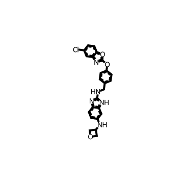 Clc1ccc2oc(Oc3ccc(CNc4nc5ccc(NC6COC6)cc5[nH]4)cc3)nc2c1